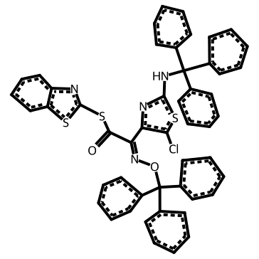 O=C(Sc1nc2ccccc2s1)/C(=N/OC(c1ccccc1)(c1ccccc1)c1ccccc1)c1nc(NC(c2ccccc2)(c2ccccc2)c2ccccc2)sc1Cl